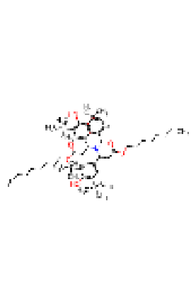 CCCCCCCCOC(=O)CC(c1cc(C(C)(C)C)c(O)c(C(C)(C)C)c1)N(Cc1ccccc1)C(CC(=O)OCCCCCCCC)c1cc(C(C)(C)C)c(O)c(C(C)(C)C)c1